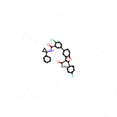 CNC(=O)c1c(-c2ccc(F)cc2)oc2ccc(-c3ccc(Cl)c(C(=O)NC4(c5ccccc5)CC4)c3)cc12